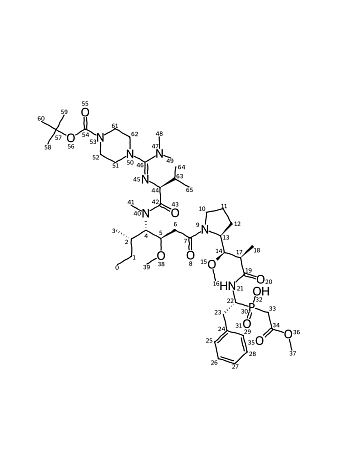 CC[C@H](C)[C@@H]([C@@H](CC(=O)N1CCC[C@H]1[C@H](OC)[C@@H](C)C(=O)N[C@@H](Cc1ccccc1)P(=O)(O)CC(=O)OC)OC)N(C)C(=O)[C@@H](N=C(N(C)C)N1CCN(C(=O)OC(C)(C)C)CC1)C(C)C